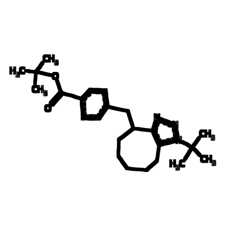 CC(C)(C)OC(=O)c1ccc(CC2CCCCCc3c2nnn3C(C)(C)C)cc1